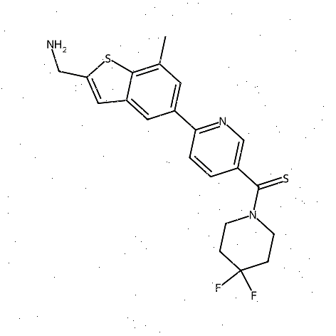 Cc1cc(-c2ccc(C(=S)N3CCC(F)(F)CC3)cn2)cc2cc(CN)sc12